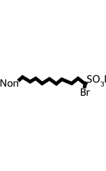 CCCCCCCCCCCCCCCCCCC(Br)S(=O)(=O)O